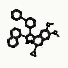 COc1cc2cc(C3CC3)n3nc(-c4cccc5ccccc45)c(-c4cccc(-c5ccccc5)c4)c3c2cc1OC